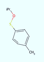 Cc1ccc(SOC(C)C)cc1